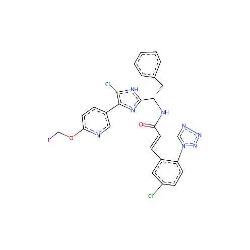 O=C(/C=C/c1cc(Cl)ccc1-n1cnnn1)N[C@@H](Cc1ccccc1)c1nc(-c2ccc(OCI)nc2)c(Cl)[nH]1